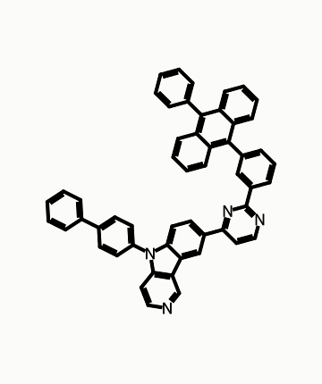 c1ccc(-c2ccc(-n3c4ccncc4c4cc(-c5ccnc(-c6cccc(-c7c8ccccc8c(-c8ccccc8)c8ccccc78)c6)n5)ccc43)cc2)cc1